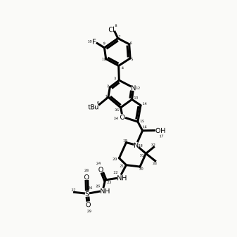 CC(C)(C)c1cc(-c2ccc(Cl)c(F)c2)nc2cc(C(O)N3CCC(NC(=O)NS(C)(=O)=O)CC3(C)C)oc12